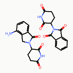 Nc1cccc2c1CN(C1CCC(=O)NC1=O)C2=O.O=C1CCC(N2C(=O)c3ccccc3C2=O)C(=O)N1